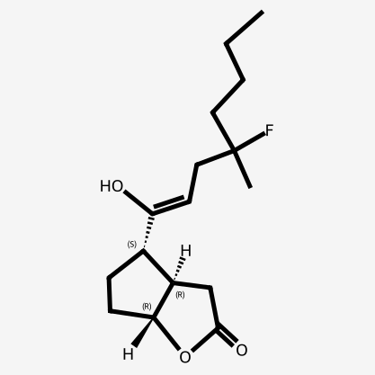 CCCCC(C)(F)CC=C(O)[C@H]1CC[C@H]2OC(=O)C[C@H]12